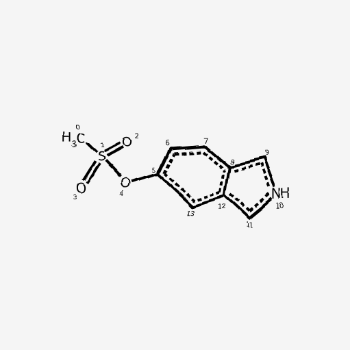 CS(=O)(=O)Oc1ccc2c[nH]cc2c1